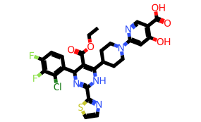 CCOC(=O)C1=C(C2CCN(c3cc(O)c(C(=O)O)cn3)CC2)NC(c2nccs2)=NC1c1ccc(F)c(F)c1Cl